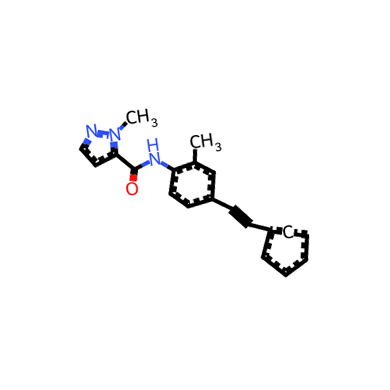 Cc1cc(C#Cc2ccccc2)ccc1NC(=O)c1ccnn1C